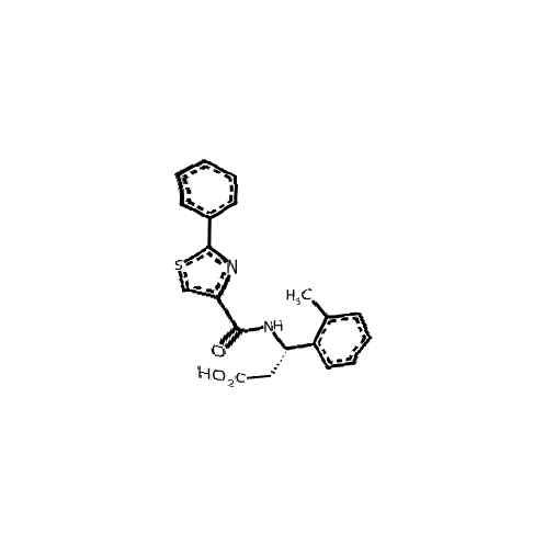 Cc1ccccc1[C@H](CC(=O)O)NC(=O)c1csc(-c2ccccc2)n1